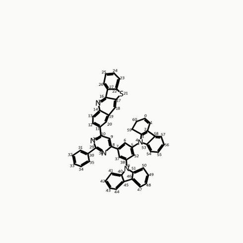 C1=Cc2c(n(-c3cc(-c4cc(-c5ccc6nc7c(cc6c5)sc5ccccc57)nc(-c5ccccc5)n4)cc(-n4c5ccccc5c5ccccc54)c3)c3ccccc23)CC1